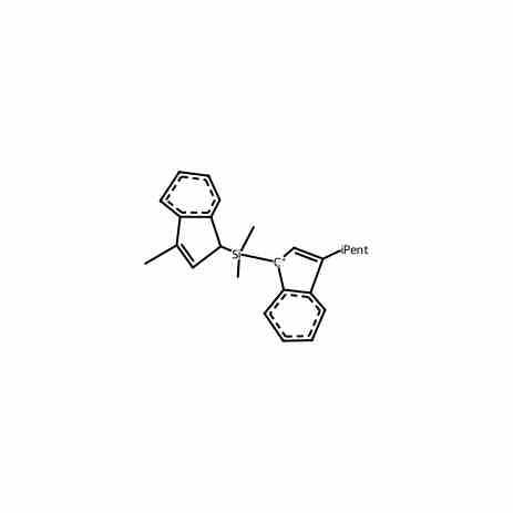 CCCC(C)C1=C[C+]([Si](C)(C)C2C=C(C)c3ccccc32)c2ccccc21